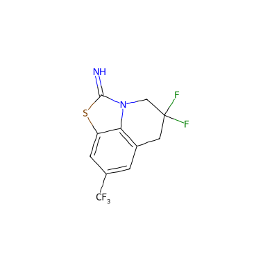 N=c1sc2cc(C(F)(F)F)cc3c2n1CC(F)(F)C3